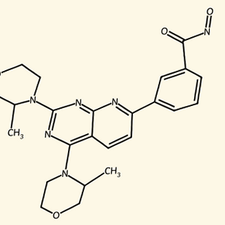 CC1COCCN1c1nc(N2CCOCC2C)c2ccc(-c3cccc(C(=O)N=O)c3)nc2n1